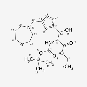 CCOC(=O)C(NC(=O)OC(C)(C)C)C(O)c1ccc(CN2CCCCCC2)s1